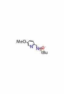 COc1ccc(C=N[S@+]([O-])C(C)(C)C)nc1